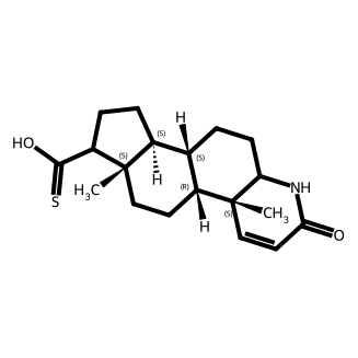 C[C@]12C=CC(=O)NC1CC[C@@H]1[C@H]2CC[C@]2(C)C(C(O)=S)CC[C@@H]12